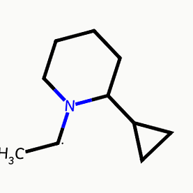 C[CH]N1CCCCC1C1CC1